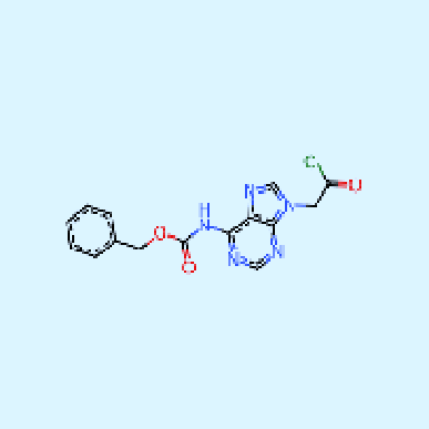 O=C(Cl)Cn1cnc2c(NC(=O)OCc3ccccc3)ncnc21